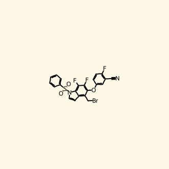 N#Cc1cc(Oc2c(F)c(F)c3c(ccn3S(=O)(=O)c3ccccc3)c2CBr)ccc1F